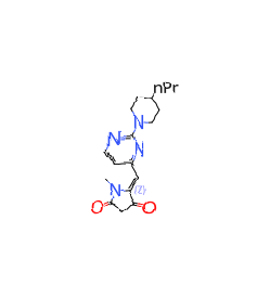 CCCC1CCN(c2nccc(/C=C3/C(=O)CC(=O)N3C)n2)CC1